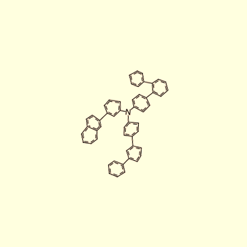 c1ccc(-c2cccc(-c3ccc(N(c4ccc(-c5ccccc5-c5ccccc5)cc4)c4cccc(-c5ccc6ccccc6c5)c4)cc3)c2)cc1